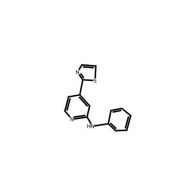 c1ccc(Nc2cc(-c3nccs3)ccn2)cc1